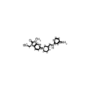 Cn1c(=O)n(CC(C)(C)C)c2ccc(N3CCCC(CNc4cc(N)ccn4)C3)nc21